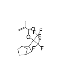 C=C(C)C(=O)OC(C1CC2CCC1C2)(C(F)(F)F)C(F)(F)F